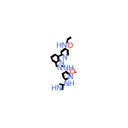 C=CC(=O)Nc1ccnc(-c2cccc3cnc(Nc4ccc(NC5CNC5)nc4OC)nc23)c1